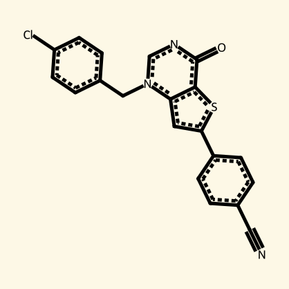 N#Cc1ccc(-c2cc3c(s2)c(=O)ncn3Cc2ccc(Cl)cc2)cc1